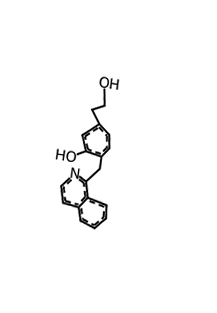 OCCc1ccc(Cc2nccc3ccccc23)c(O)c1